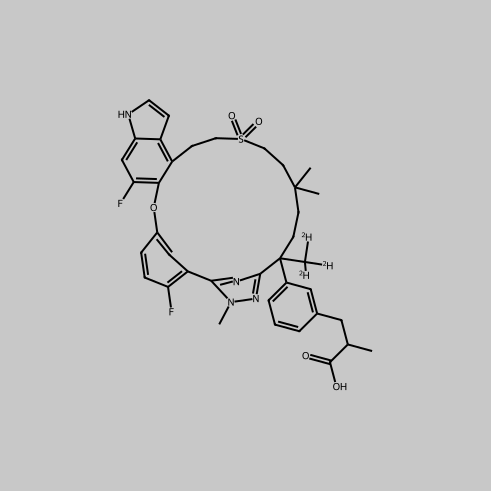 [2H]C([2H])([2H])C1(c2cccc(CC(C)C(=O)O)c2)CCC(C)(C)CCS(=O)(=O)CCc2c(c(F)cc3[nH]ccc23)Oc2ccc(F)c(c2)-c2nc1nn2C